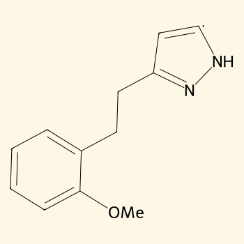 COc1ccccc1CCc1c[c][nH]n1